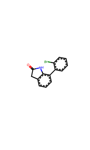 O=C1Cc2cccc(-c3ccccc3Br)c2N1